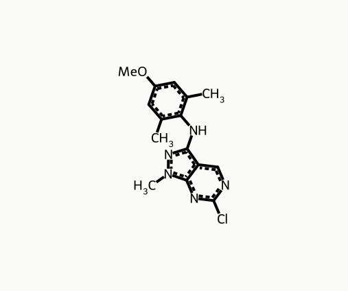 COc1cc(C)c(Nc2nn(C)c3nc(Cl)ncc23)c(C)c1